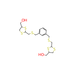 OCC1CSC(CSCc2cccc(CSCC3SCC(CO)S3)c2)S1